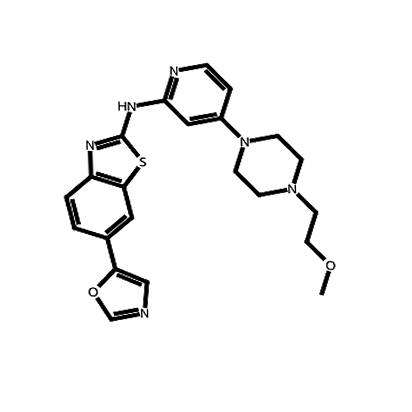 COCCN1CCN(c2ccnc(Nc3nc4ccc(-c5cnco5)cc4s3)c2)CC1